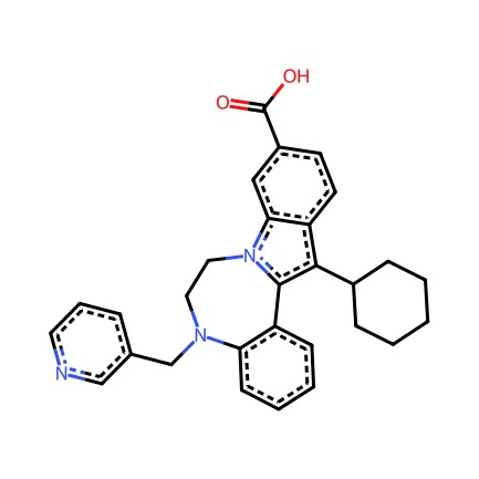 O=C(O)c1ccc2c(C3CCCCC3)c3n(c2c1)CCN(Cc1cccnc1)c1ccccc1-3